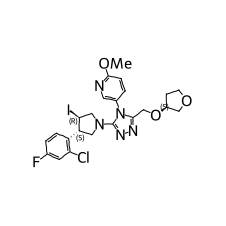 COc1ccc(-n2c(CO[C@H]3CCOC3)nnc2N2C[C@H](c3ccc(F)cc3Cl)[C@@H](I)C2)cn1